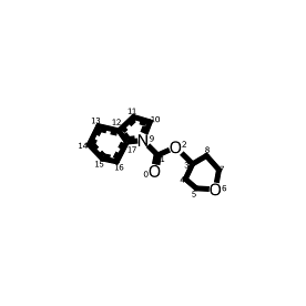 O=C(OC1CCOCC1)n1ccc2ccccc21